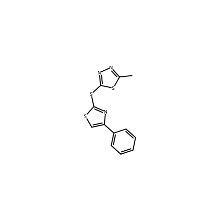 Cc1nnc(Sc2nc(-c3ccccc3)cs2)s1